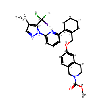 CCOC(=O)c1cnn(-c2cccc(C3=C(COc4ccc5c(c4)CCN(C(=O)OC(C)(C)C)C5)CCCC3)n2)c1C(F)(F)I